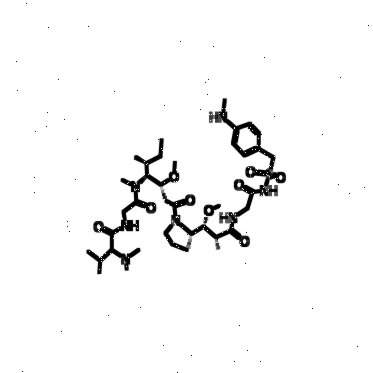 CC[C@H](C)[C@@H]([C@@H](CC(=O)N1CCC[C@H]1[C@H](OC)[C@@H](C)C(=O)NCC(=O)NS(=O)(=O)Cc1ccc(NC)cc1)OC)N(C)C(=O)CNC(=O)C(C(C)C)N(C)C